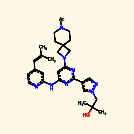 CC(=O)N1CCC2(CC1)CN(c1cc(Nc3cc(C=C(C)C)ccn3)nc(-c3cnn(CC(C)(C)O)c3)n1)C2